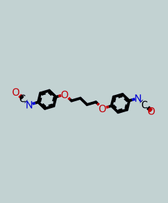 O=C=Nc1ccc(OCCCCOc2ccc(N=C=O)cc2)cc1